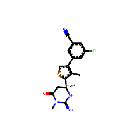 Cc1c(-c2cc(Cl)cc(C#N)c2)csc1[C@]1(C)CC(=O)N(C)C(=N)N1